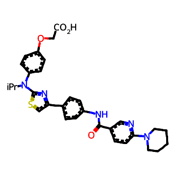 CC(C)N(c1ccc(OCC(=O)O)cc1)c1nc(-c2ccc(NC(=O)c3ccc(N4CCCCC4)nc3)cc2)cs1